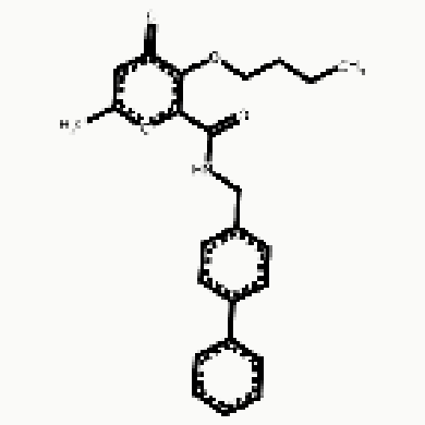 CCCCOc1c(C(=O)NCc2ccc(-c3ccccc3)cc2)oc(C)cc1=O